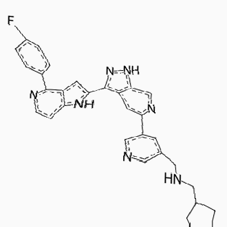 Fc1ccc(-c2nccc3[nH]c(-c4n[nH]c5cnc(-c6cncc(CNCC7CCCC7)c6)cc45)cc23)cc1